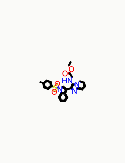 CCOC(=O)CNc1c(-c2cn(S(=O)(=O)c3ccc(C)cc3)c3ccccc23)nc2ccccn12